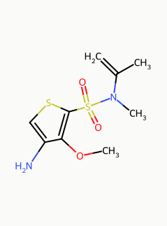 C=C(C)N(C)S(=O)(=O)c1scc(N)c1OC